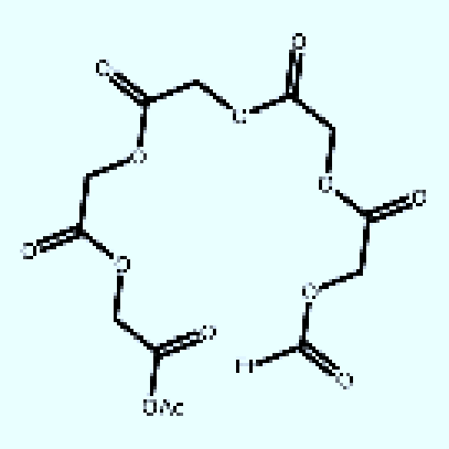 CCC(=O)OCC(=O)OCC(=O)OCC(=O)OCC(=O)OCC(=O)OC(C)=O